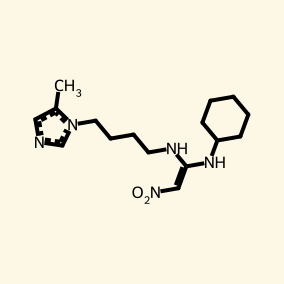 Cc1cncn1CCCCNC(=C[N+](=O)[O-])NC1CCCCC1